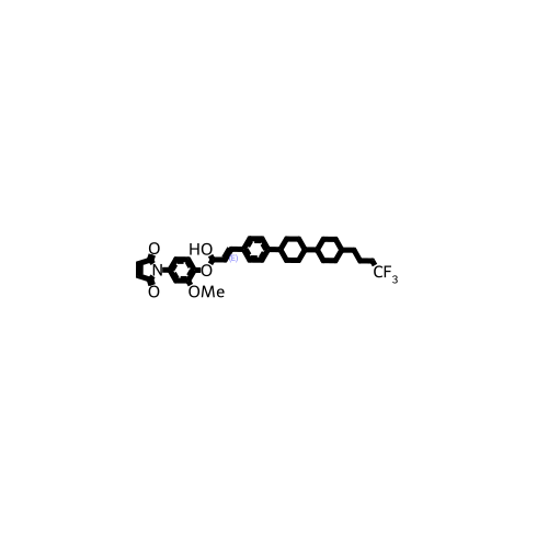 COc1cc(N2C(=O)C=CC2=O)ccc1OC(O)/C=C/c1ccc(C2CCC(C3CCC(CCCC(F)(F)F)CC3)CC2)cc1